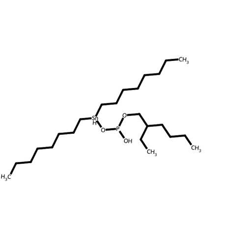 CCCCCCC[CH2][SnH]([CH2]CCCCCCC)[O]P(O)OCC(CC)CCCC